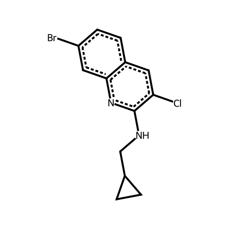 Clc1cc2ccc(Br)cc2nc1NCC1CC1